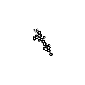 Cc1cc(C2=CC=CC2)cc(C)c1N1C(=O)c2cc3cc4c(cc3cc2C1=O)C(=O)C(c1nc2ccc(C(F)(F)F)cc2c(=O)n1Cc1ccccc1)C4=O